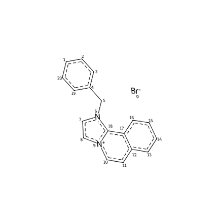 [Br-].c1ccc(Cn2cc[n+]3ccc4ccccc4c23)cc1